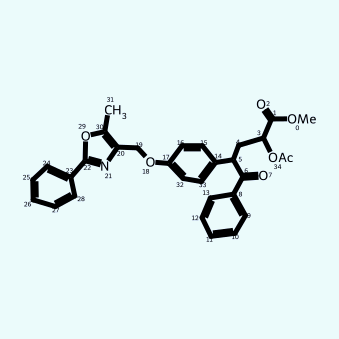 COC(=O)C(CC(C(=O)c1ccccc1)c1ccc(OCc2nc(-c3ccccc3)oc2C)cc1)OC(C)=O